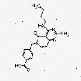 CCCCNc1nc(N)nc2ccn(Cc3ccc(C(=O)O)cc3)c(=O)c12